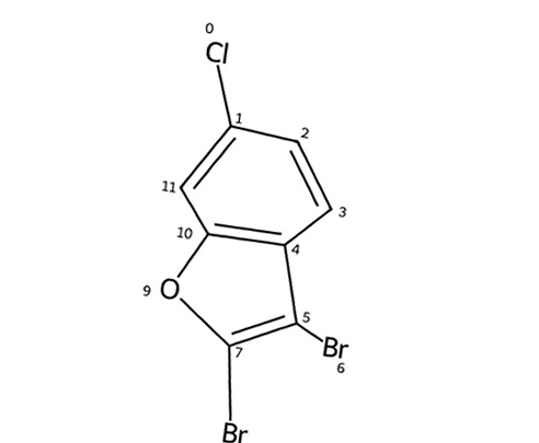 Clc1ccc2c(Br)c(Br)oc2c1